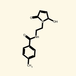 Cc1ccc(C(=O)NCCN2C(=O)C=CC2O)cc1